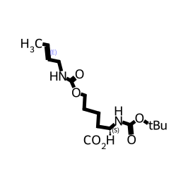 C/C=C/CNC(=O)OCCCC[C@H](NC(=O)OC(C)(C)C)C(=O)O